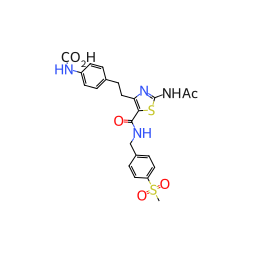 CC(=O)Nc1nc(CCc2ccc(NC(=O)O)cc2)c(C(=O)NCc2ccc(S(C)(=O)=O)cc2)s1